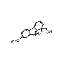 COc1ccc2c(c1)N=C1C2=CC=NC1(C)CO